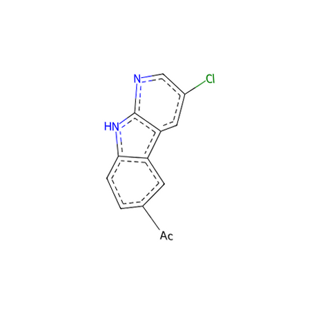 CC(=O)c1ccc2[nH]c3ncc(Cl)cc3c2c1